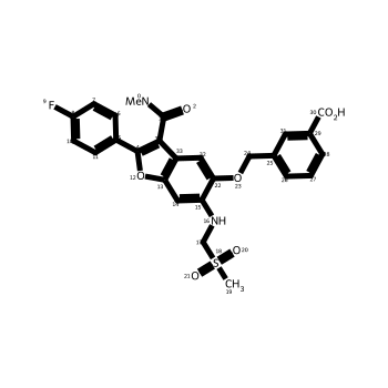 CNC(=O)c1c(-c2ccc(F)cc2)oc2cc(NCS(C)(=O)=O)c(OCc3cccc(C(=O)O)c3)cc12